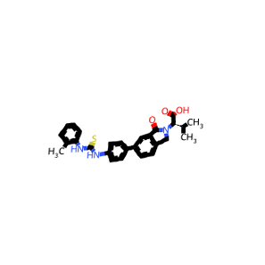 Cc1ccccc1NC(=S)Nc1ccc(-c2ccc3c(c2)C(=O)N([C@H](C(=O)O)C(C)C)C3)cc1